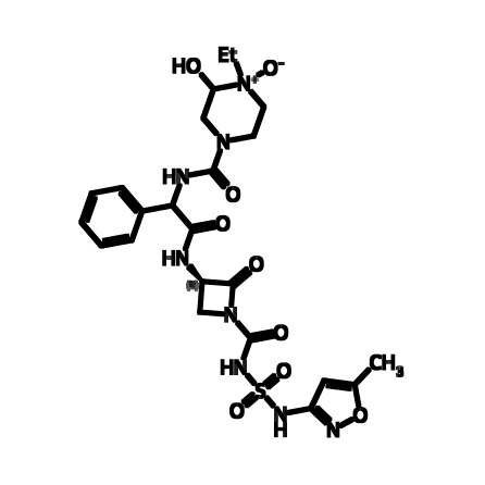 CC[N+]1([O-])CCN(C(=O)NC(C(=O)N[C@@H]2CN(C(=O)NS(=O)(=O)Nc3cc(C)on3)C2=O)c2ccccc2)CC1O